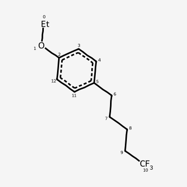 CCOc1ccc(CCCCC(F)(F)F)cc1